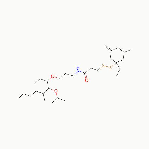 C=C1CC(C)CC(CC)(SSCCC(=O)NCCCOC(CC)C(OC(C)C)C(C)CCCC)C1